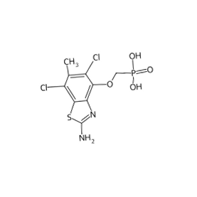 Cc1c(Cl)c(OCP(=O)(O)O)c2nc(N)sc2c1Cl